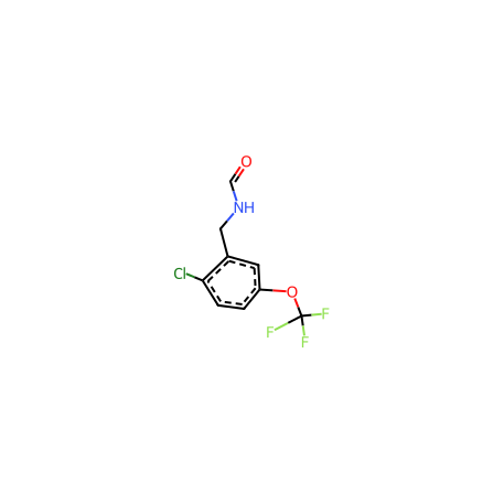 O=CNCc1cc(OC(F)(F)F)ccc1Cl